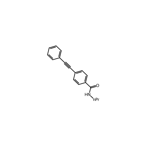 CCCNC(=O)c1ccc(C#Cc2ccccc2)cc1